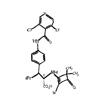 CC(C)C(c1ccc(NC(=O)c2c(Cl)cncc2Cl)cc1)[C@H](NC1=C(Br)C(=O)C1(C)C)C(=O)O